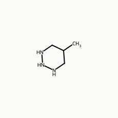 CC1CNNNC1